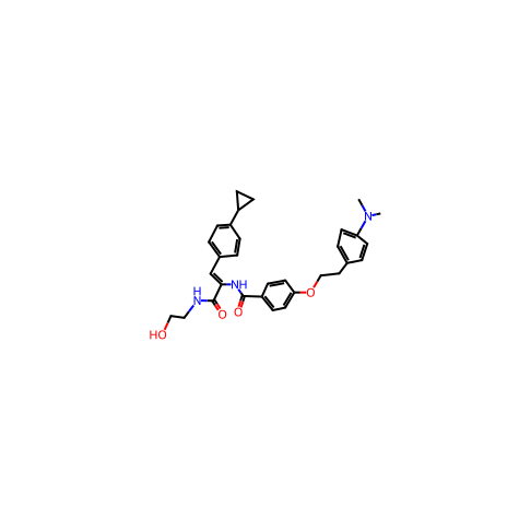 CN(C)c1ccc(CCOc2ccc(C(=O)N/C(=C\c3ccc(C4CC4)cc3)C(=O)NCCO)cc2)cc1